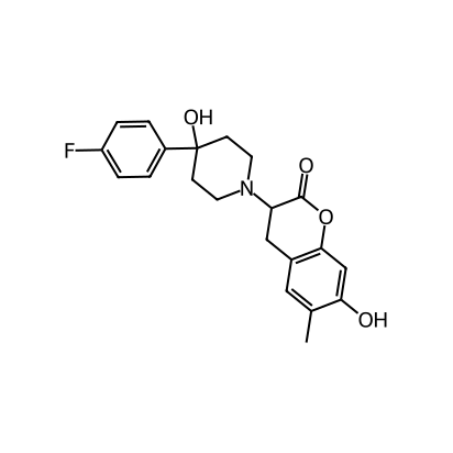 Cc1cc2c(cc1O)OC(=O)C(N1CCC(O)(c3ccc(F)cc3)CC1)C2